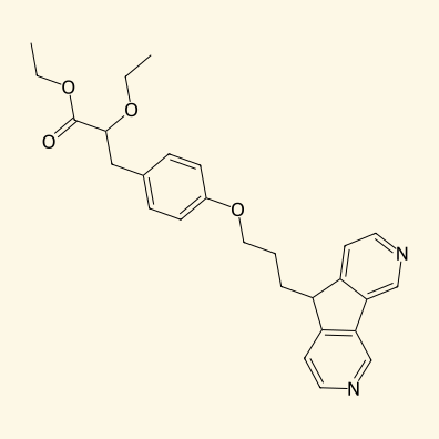 CCOC(=O)C(Cc1ccc(OCCCC2c3ccncc3-c3cnccc32)cc1)OCC